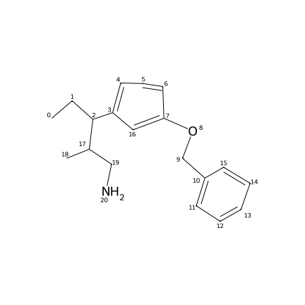 CCC(c1cccc(OCc2ccccc2)c1)C(C)CN